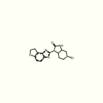 CCN1CCC2C(C1)NC(=O)N2c1nc2c3c(ccc2s1)OCC3